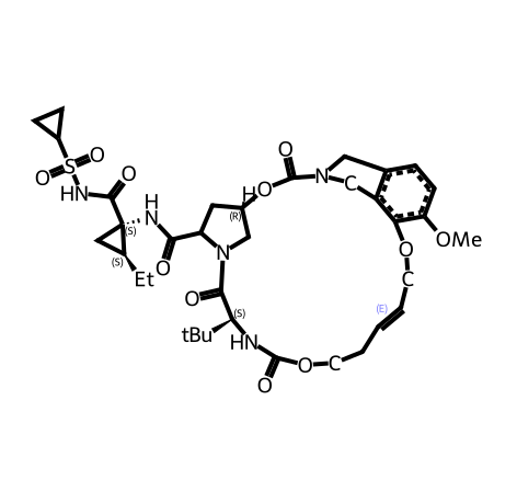 CC[C@H]1C[C@@]1(NC(=O)C1C[C@@H]2CN1C(=O)[C@H](C(C)(C)C)NC(=O)OCC/C=C/COc1c(OC)ccc3c1CN(C3)C(=O)O2)C(=O)NS(=O)(=O)C1CC1